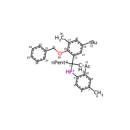 CCCCCC(C)(Pc1ccc(C)cc1C(C)=O)c1cc(C(C)(C)C)cc(C)c1OCc1ccccc1